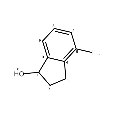 OC1CCc2c(I)cccc21